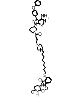 Nc1ncnc2c1c(-c1ccc(Oc3ccccc3)cc1)nn2C1CCCN(C(=O)/C=C/CN2CCN(CCCCCCCCCSc3cccc4c3C(=O)N(C3CCC(=O)NC3=O)C4=O)CC2)C1